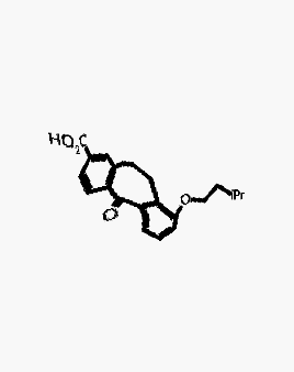 CC(C)CCOc1cccc2c1CCc1cc(C(=O)O)ccc1C2=O